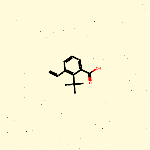 C=Cc1cccc(C(=O)O)c1C(C)(C)C